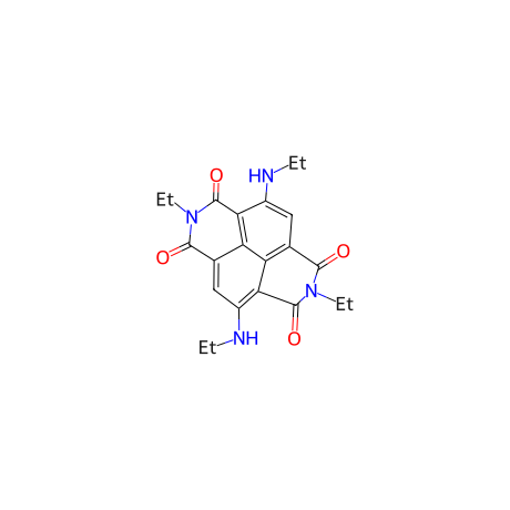 CCNc1cc2c3c(c(NCC)cc4c3c1C(=O)N(CC)C4=O)C(=O)N(CC)C2=O